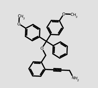 COc1ccc(C(OCc2ccccc2C#CCN)(c2ccccc2)c2ccc(OC)cc2)cc1